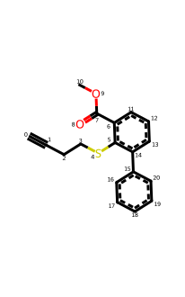 C#CCCSc1c(C(=O)OC)cccc1-c1ccccc1